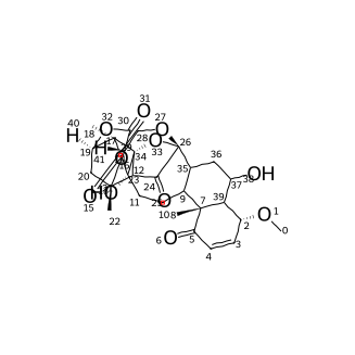 CO[C@@H]1C=CC(=O)[C@]2(C)C3CC[C@@]4(O)C(=O)O[C@@]5(C)[C@H]6C[C@@]7(C)C8C(=O)[C@](OC[C@H]7C(=O)O6)(O[C@]845)C3CC(O)C12